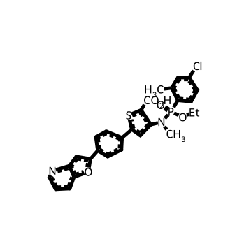 CCOP(=O)(c1ccc(Cl)cc1C)N(C)c1cc(-c2ccc(-c3cc4ncccc4o3)cc2)sc1C(=O)O